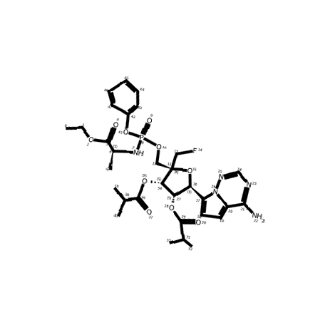 CCOC(=O)[C@H](C)NP(=O)(OC[C@@]1(CF)O[C@@H](c2ccc3c(N)ncnn23)[C@H](OC(=O)C(C)C)[C@@H]1OC(=O)C(C)C)Oc1ccccc1